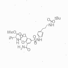 COC(=O)[C@@H](NC(=O)Oc1c(Cl)cc(S(=O)(=O)Nc2ccc(CCCNC(=O)OC(C)(C)C)cc2)cc1C(N)=O)C(C)C